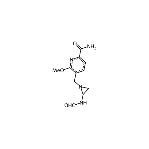 COc1nc(C(N)=O)ccc1CN1CC1NC=O